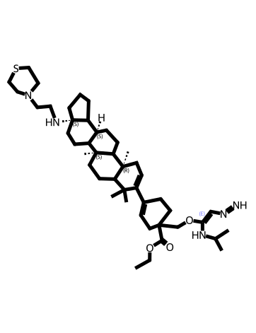 CCOC(=O)C1(CO/C(=C/N=N)NC(C)C)CC=C(C2=CC[C@@]3(C)C(CC[C@@]4(C)C5CC[C@@]6(NCCN7CCSCC7)CCCC6[C@H]5CCC43)C2(C)C)CC1